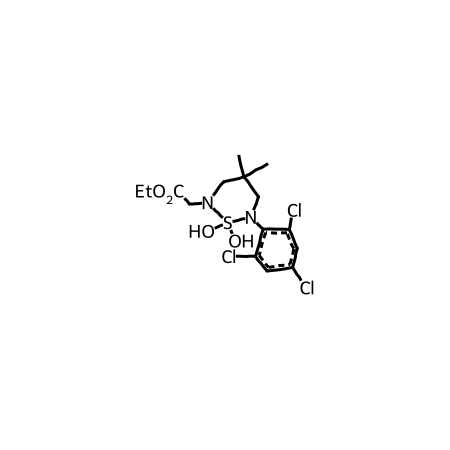 CCOC(=O)CN1CC(C)(C)CN(c2c(Cl)cc(Cl)cc2Cl)S1(O)O